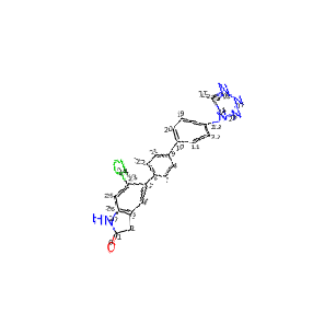 O=C1Cc2cc(-c3ccc(-c4ccc(-n5cnnn5)cc4)cc3)c(Cl)cc2N1